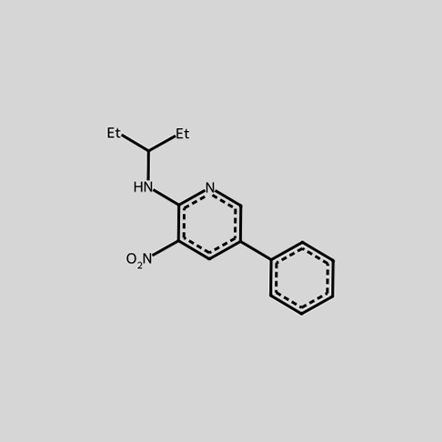 CCC(CC)Nc1ncc(-c2ccccc2)cc1[N+](=O)[O-]